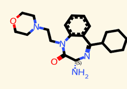 N[C@H]1N=C(C2CCCCC2)c2ccccc2N(CCN2CCOCC2)C1=O